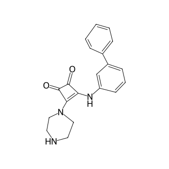 O=c1c(Nc2cccc(-c3ccccc3)c2)c(N2CCNCC2)c1=O